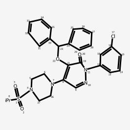 CC(C)S(=O)(=O)N1CCN(c2cnn(-c3cccc(Cl)c3)c(=O)c2OC(c2ccccc2)c2ccccc2)CC1